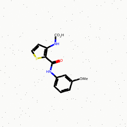 COc1cccc(NC(=O)c2sccc2NC(=O)O)c1